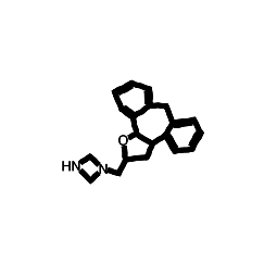 c1ccc2c(c1)Cc1ccccc1C1OC(CN3CNC3)CC21